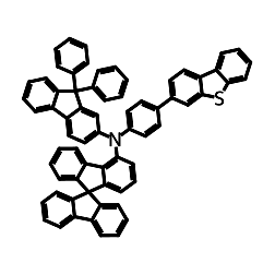 c1ccc(C2(c3ccccc3)c3ccccc3-c3ccc(N(c4ccc(-c5ccc6c(c5)sc5ccccc56)cc4)c4cccc5c4-c4ccccc4C54c5ccccc5-c5ccccc54)cc32)cc1